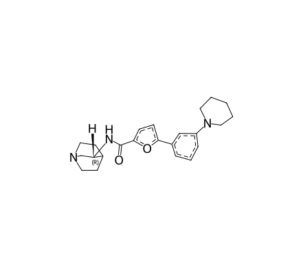 O=C(N[C@H]1CN2CCC1CC2)c1ccc(-c2cccc(N3CCCCC3)c2)o1